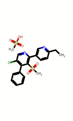 CCc1ccc(-c2ncc(Cl)c(-c3ccccc3)c2S(C)(=O)=O)cn1.CS(=O)(=O)O